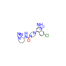 Nc1cc(N2CCN(C(=O)NC3CCCCn4cnnc43)CC2)c2ccc(Cl)cc2n1